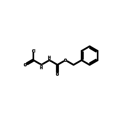 O=C(Cl)NNC(=O)OCc1ccccc1